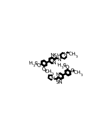 CCN1CCC(Nc2snc3cc(-c4ccc(OC)c(OC)c4)cnc23)CC1.COc1ccc(-c2cnc3c(N4CCCC4)snc3c2)cc1OC